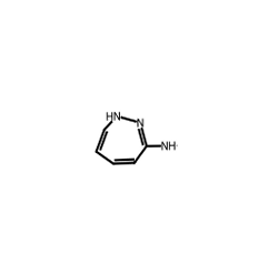 [NH]C1=NNC=CC=C1